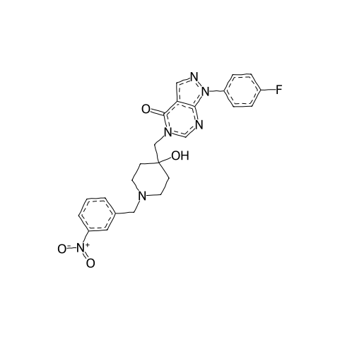 O=c1c2cnn(-c3ccc(F)cc3)c2ncn1CC1(O)CCN(Cc2cccc([N+](=O)[O-])c2)CC1